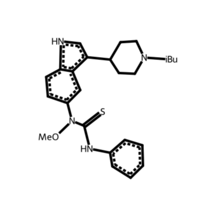 CCC(C)N1CCC(c2c[nH]c3ccc(N(OC)C(=S)Nc4ccccc4)cc23)CC1